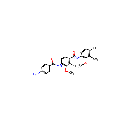 COc1c(NC(=O)c2ccc(NC(=O)c3ccc(N)cc3)c(OC)c2C)ccc(C)c1C